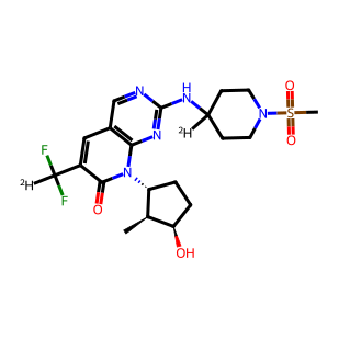 [2H]C1(Nc2ncc3cc(C([2H])(F)F)c(=O)n([C@@H]4CC[C@@H](O)[C@H]4C)c3n2)CCN(S(C)(=O)=O)CC1